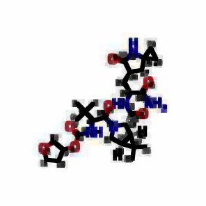 CC(C)(C)[C@H](NC(=O)OC1CCOC1)C(=O)N1C[C@H]2[C@@H]([C@H]1C(=O)N[C@@H](C[C@@H]1CC3(CC3)NC1=O)C(N)=O)C2(C)C